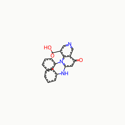 O=C(O)c1cncc2c(=O)cc(Nc3ccccc3)n(-c3ccccc3)c12